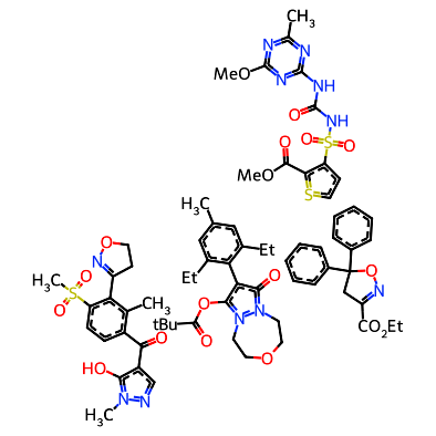 CCOC(=O)C1=NOC(c2ccccc2)(c2ccccc2)C1.CCc1cc(C)cc(CC)c1-c1c(OC(=O)C(C)(C)C)n2n(c1=O)CCOCC2.COC(=O)c1sccc1S(=O)(=O)NC(=O)Nc1nc(C)nc(OC)n1.Cc1c(C(=O)c2cnn(C)c2O)ccc(S(C)(=O)=O)c1C1=NOCC1